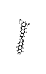 C=CC1CC(C(C)C)C(C)c2cc3cc4c(cc3cc21)SC(=C1Sc2cc3cc5ccccc5cc3cc2S1)S4